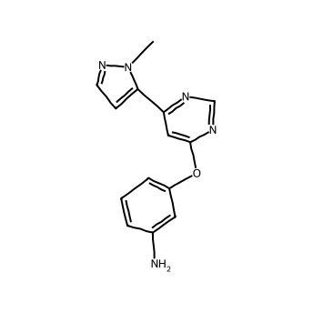 Cn1nccc1-c1cc(Oc2cccc(N)c2)ncn1